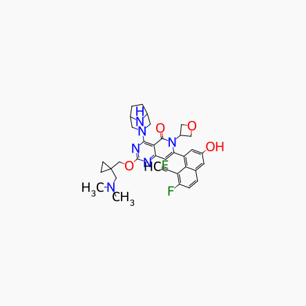 C#Cc1c(F)ccc2cc(O)cc(-c3c(F)c4nc(OCC5(CN(C)C)CC5)nc(N5CC6CCC(C5)N6)c4c(=O)n3C3COC3)c12